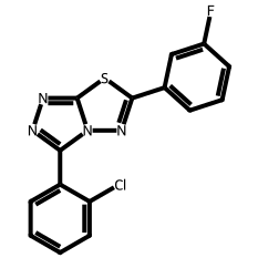 Fc1cccc(-c2nn3c(-c4ccccc4Cl)nnc3s2)c1